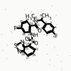 CC(c1ccc(F)cc1)N(C)C(=O)c1ccc(F)cc1NS(=O)(=O)c1cccc2nsnc12